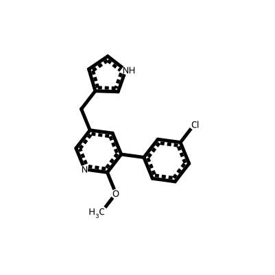 COc1ncc(Cc2cc[nH]c2)cc1-c1cccc(Cl)c1